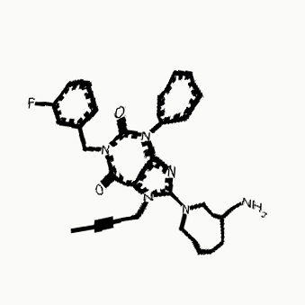 CC#CCn1c(N2CCCC(N)C2)nc2c1c(=O)n(Cc1cccc(F)c1)c(=O)n2-c1ccccc1